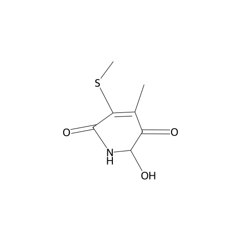 CSC1=C(C)C(=O)C(O)NC1=O